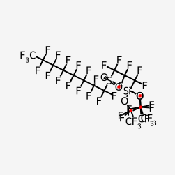 O=S(=O)(C(F)(F)C(F)(F)C(F)(F)C(F)(F)C(F)(F)C(F)(F)C(F)(F)C(F)(F)F)C(F)(F)C(F)(F)C(F)(F)[Si](OC(F)(F)C(F)(F)F)(OC(F)(F)C(F)(F)F)OC(F)(F)C(F)(F)F